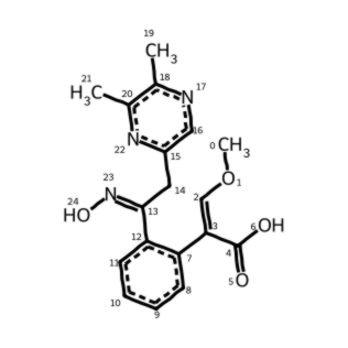 CO/C=C(\C(=O)O)c1ccccc1/C(Cc1cnc(C)c(C)n1)=N\O